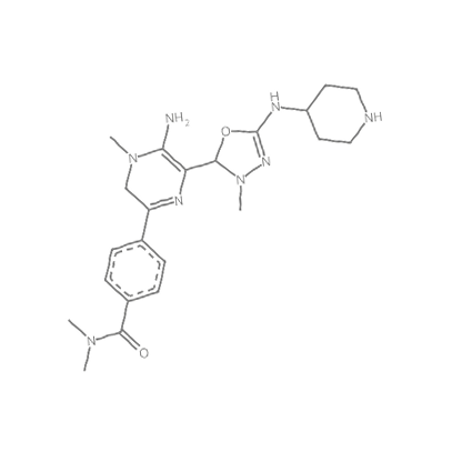 CN(C)C(=O)c1ccc(C2=NC(C3OC(NC4CCNCC4)=NN3C)=C(N)N(C)C2)cc1